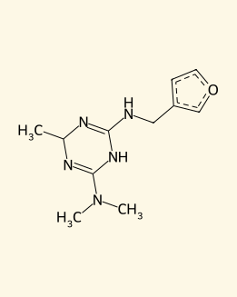 CC1N=C(NCc2ccoc2)NC(N(C)C)=N1